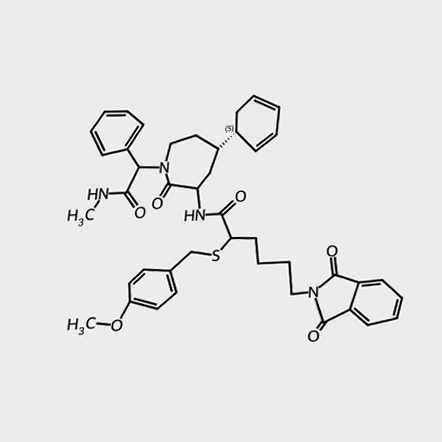 CNC(=O)C(c1ccccc1)N1CCC([C@H]2C=CC=CC2)CC(NC(=O)C(CCCCN2C(=O)c3ccccc3C2=O)SCc2ccc(OC)cc2)C1=O